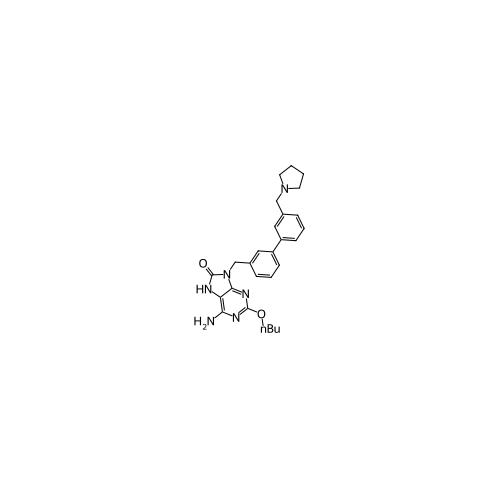 CCCCOc1nc(N)c2[nH]c(=O)n(Cc3cccc(-c4cccc(CN5CCCC5)c4)c3)c2n1